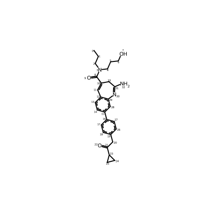 CCCN(CCCO)C(=O)C1=Cc2ccc(-c3ccc(CC(=O)C4CC4)cc3)cc2N=C(N)C1